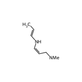 C/C=C/N/C=C\CNC